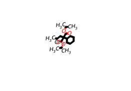 CC(C)CC(C(=O)OC(C)C)(C(=O)OC(C)C)C1CCCCC1